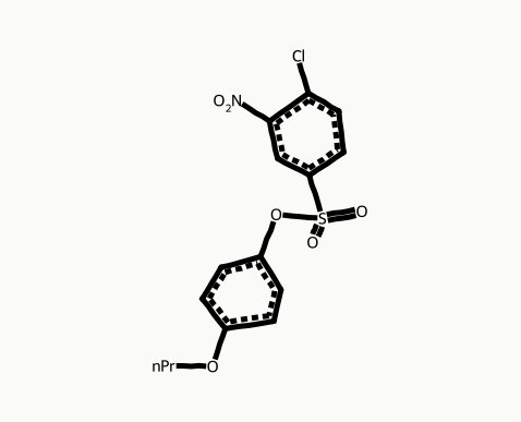 CCCOc1ccc(OS(=O)(=O)c2ccc(Cl)c([N+](=O)[O-])c2)cc1